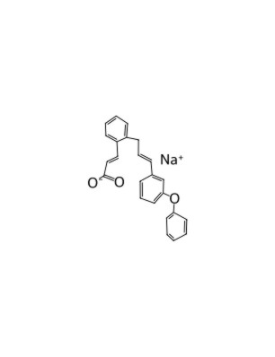 O=C([O-])/C=C/c1ccccc1C/C=C/c1cccc(Oc2ccccc2)c1.[Na+]